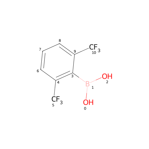 OB(O)c1c(C(F)(F)F)cccc1C(F)(F)F